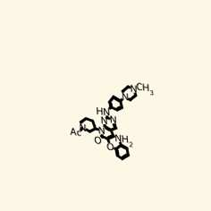 CC(=O)N1CCCC(n2c(=O)c(Oc3ccccc3N)cc3cnc(Nc4ccc(N5CCN(C)CC5)cc4)nc32)C1